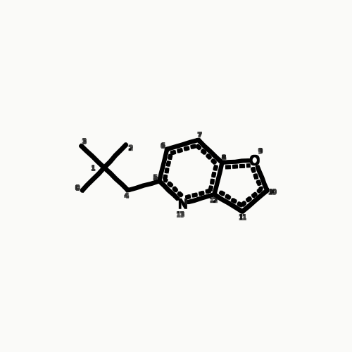 CC(C)(C)Cc1ccc2occc2n1